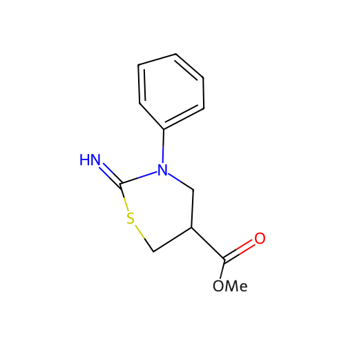 COC(=O)C1CSC(=N)N(c2ccccc2)C1